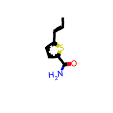 C/C=C/c1ccc(C(N)=O)s1